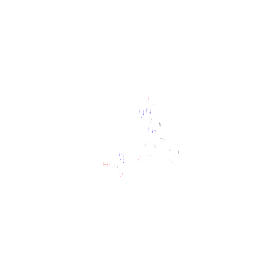 CC/C(=C(/c1ccc(OCCNC(=O)O)cc1)c1ccc2c(cnn2C2CCCCO2)n1)c1ccccc1